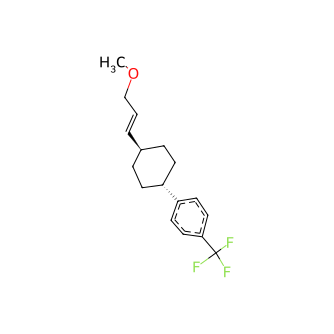 COCC=C[C@H]1CC[C@H](c2ccc(C(F)(F)F)cc2)CC1